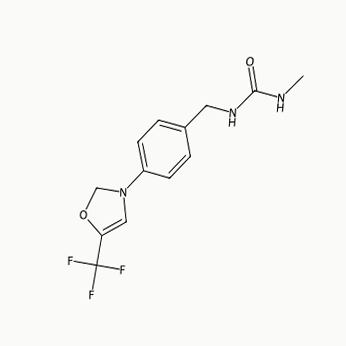 CNC(=O)NCc1ccc(N2C=C(C(F)(F)F)OC2)cc1